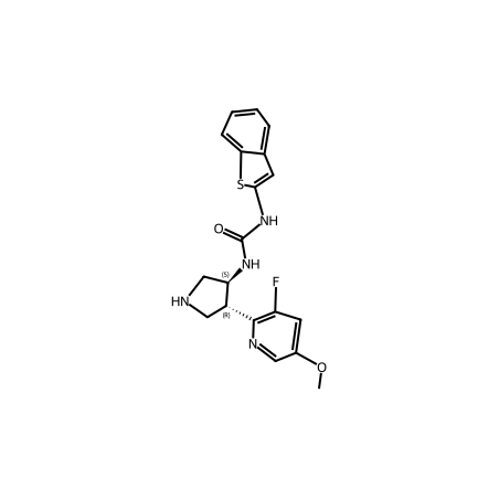 COc1cnc([C@@H]2CNC[C@H]2NC(=O)Nc2cc3ccccc3s2)c(F)c1